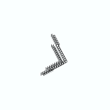 O.O.O.O.O.O.O.O.O.O.O.O.O.O.O.O.O.O.[Fe].[Fe].[Fe].[Fe].[Fe].[Fe].[Fe].[Fe].[Fe].[Fe].[Fe].[Fe]